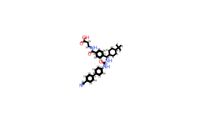 CC(C)(C)C1CCC(C(NC(=O)Nc2ccc(-c3ccc(C#N)cc3)cc2)c2ccc(C(=O)NCCC(=O)O)cc2)CC1